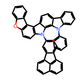 c1ccc(-n2c3ccccc3c3ccc4c5c6c(ccc5n(-c5ccc7c(c5)-c5cccc8cccc-7c58)c4c32)oc2ccccc26)cc1